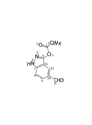 COC(=O)Oc1n[nH]c2ccc(C=O)cc12